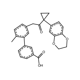 Cc1ccc(CC(=O)C2(c3ccc4c(c3)OCCO4)CC2)cc1-c1cccc(C(=O)O)c1